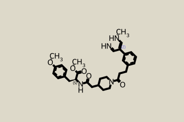 CN/C=C(\C=N)c1cccc(CCC(=O)N2CCC(CC(=O)N[C@@H](Cc3ccc(OC)cc3)C(=O)OC)CC2)c1